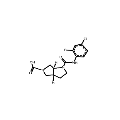 O=C(O)N1C[C@H]2CCN(C(=O)Nc3ccc(Cl)cc3F)[C@H]2C1